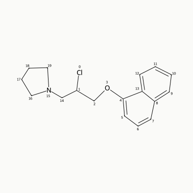 ClC(COc1cccc2ccccc12)CN1CCCC1